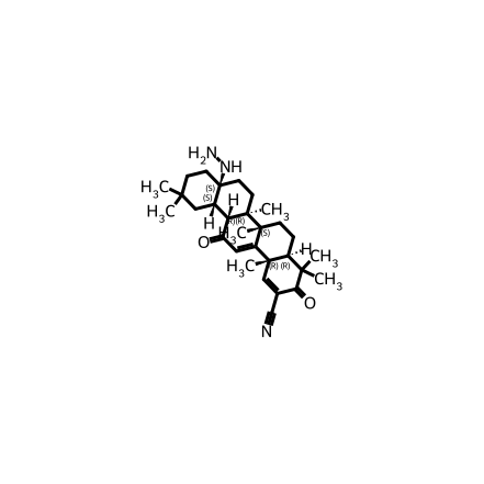 CC1(C)CC[C@]2(NN)CC[C@]3(C)[C@H](C(=O)C=C4[C@@]5(C)C=C(C#N)C(=O)C(C)(C)[C@@H]5CC[C@]43C)[C@@H]2C1